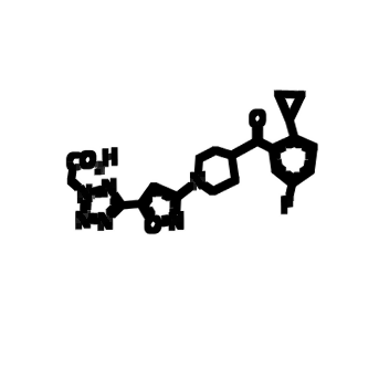 O=C(O)Cn1nnc(-c2cc(N3CCC(C(=O)c4cc(F)ccc4C4CC4)CC3)no2)n1